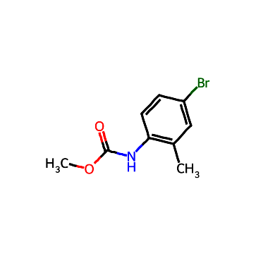 COC(=O)Nc1ccc(Br)cc1C